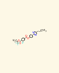 C=CCc1cnc(-c2ccc(OC(=O)c3ccc(C(=O)OC(=C)C(F)(F)F)c(F)c3)cc2)nc1